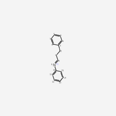 C(/CCc1ccccc1)=N\c1ccccc1